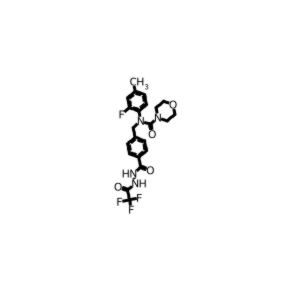 Cc1ccc(N(Cc2ccc(C(=O)NNC(=O)C(F)(F)F)cc2)C(=O)N2CCOCC2)c(F)c1